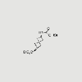 CCOC(=O)C=C1CC2(C1)CC(NC(=O)OC(C)(C)C)C2